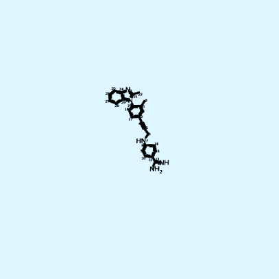 Cc1cc(C#CCNc2ccc(C(=N)N)cc2)ccc1-n1c(C)nc2ccccc21